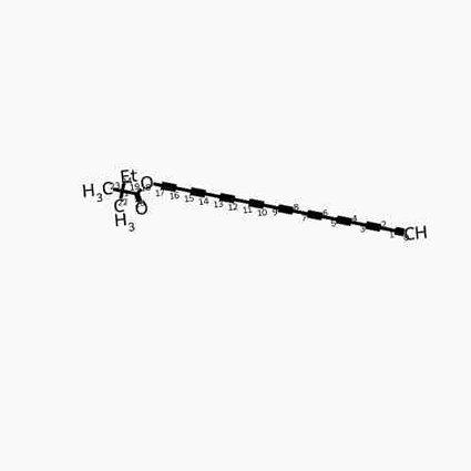 C#CC#CC#CC#CC#CC#CC#CC#CC#COC(=O)C(C)(C)CC